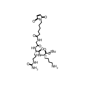 CC(C)(C)OC(=O)[C@H](CCCCN)NC(=O)[C@H](CCCNC(N)=O)NC(=O)CNC(=O)CCCCCN1C(=O)C=CC1=O